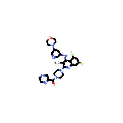 Cc1c(N2CCN(C(=O)c3cnccn3)CC2)nc2cc(F)cc(F)c2c1Nc1cncc(N2CCOCC2)c1